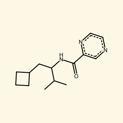 CC(C)C(CC1CCC1)NC(=O)c1cnccn1